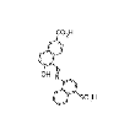 O=C(O)c1ccc2c(/N=N/c3ccc(S(=O)(=O)O)c4ccccc34)c(O)ccc2c1